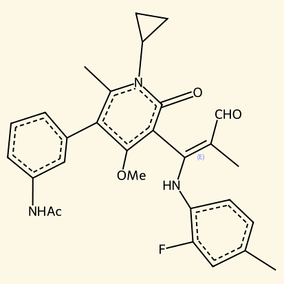 COc1c(-c2cccc(NC(C)=O)c2)c(C)n(C2CC2)c(=O)c1/C(Nc1ccc(C)cc1F)=C(/C)C=O